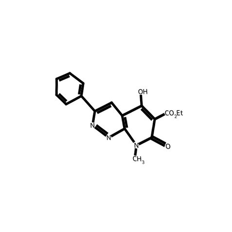 CCOC(=O)c1c(O)c2cc(-c3ccccc3)nnc2n(C)c1=O